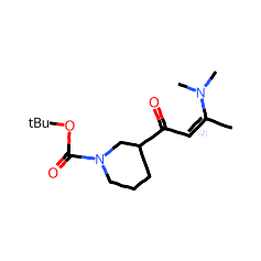 C/C(=C/C(=O)C1CCCN(C(=O)OC(C)(C)C)C1)N(C)C